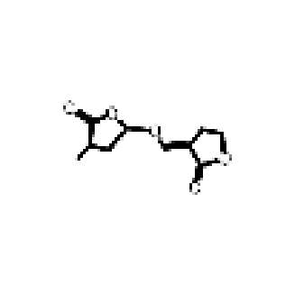 CC1CC(O/C=C2\CCOC2=O)OC1=O